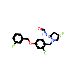 O=CN[C@@H]1C[C@H](F)CN1Cc1ccc(OCc2cccc(F)c2)cc1Cl